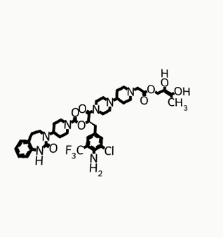 C/C(O)=C(/O)COC(=O)CN1CCC(N2CCN(C(=O)[C@@H](Cc3cc(Cl)c(N)c(C(F)(F)F)c3)OC(=O)N3CCC(N4CCc5ccccc5NC4=O)CC3)CC2)CC1